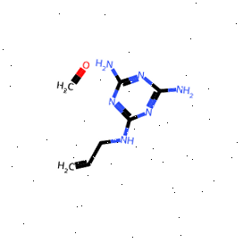 C=CCNc1nc(N)nc(N)n1.C=O